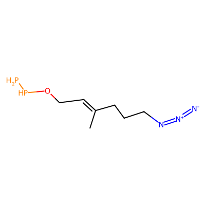 C/C(=C\COPP)CCCN=[N+]=[N-]